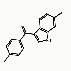 Cc1ccc(C(=O)c2c[nH]c3cc(Br)ccc23)cc1